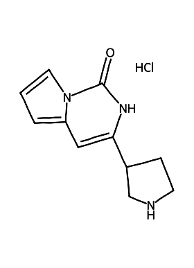 Cl.O=c1[nH]c(C2CCNC2)cc2cccn12